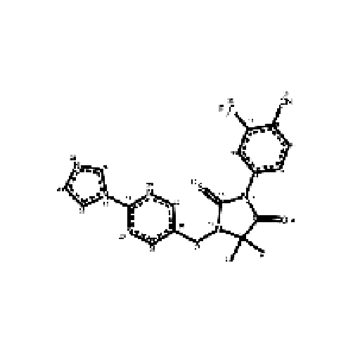 CC1(C)C(=O)N(c2ccc(C#N)c(C(F)(F)F)c2)C(=S)N1Cc1cnc(-n2ccnc2)nc1